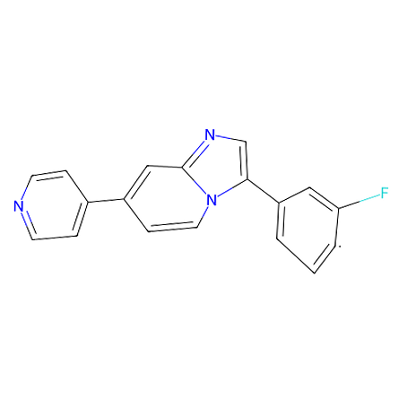 Fc1[c]ccc(-c2cnc3cc(-c4ccncc4)ccn23)c1